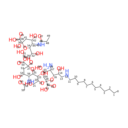 CCCCCCCCCCCCNCC(O)C1OC(OC(CO)C(O)C2OC(OC(CO)C(O)C3OC(O)(C(=O)O)CC(O)C3NC(=O)CC)(C(=O)O)CC(O)C2NC(C)=O)(C(=O)O)CC(O)C1N